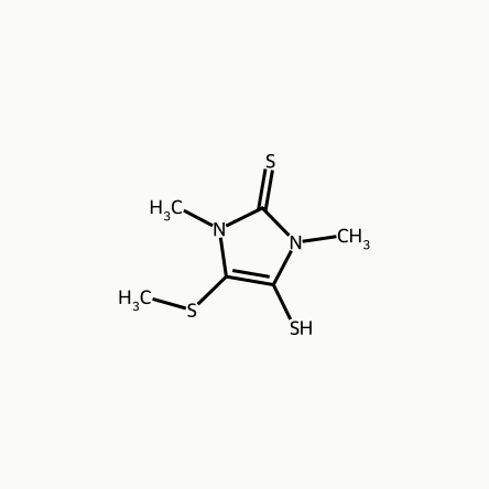 CSc1c(S)n(C)c(=S)n1C